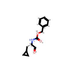 O=C[C@H](CC1CC1)NC(=O)OCc1ccccc1